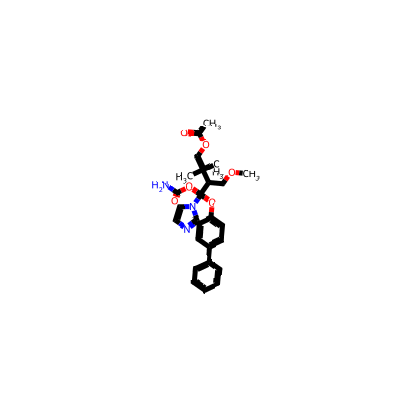 COCC(C(C)(C)COC(C)=O)C(OC(N)=O)(Oc1ccc(-c2ccccc2)cc1)n1ccnc1